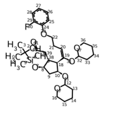 CC(C)(C)[Si](C)(C)O[C@@H]1C[C@H](OC2CCCCO2)[C@H](/C(=C\CCOc2ccccc2F)OC2CCCCO2)[C@@H]1CC=O